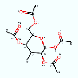 CC(=O)OCC1OC(OC(C)=O)C(OC(C)=O)C(C)C1OC(C)=O